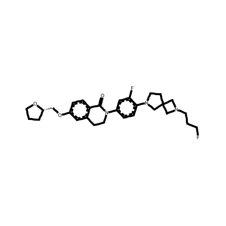 O=C1c2ccc(OC[C@@H]3CCCO3)cc2CCN1c1ccc(N2CCC3(CN(CCCF)C3)C2)c(F)c1